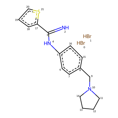 Br.Br.N=C(Nc1ccc(CN2CCCC2)cc1)c1cccs1